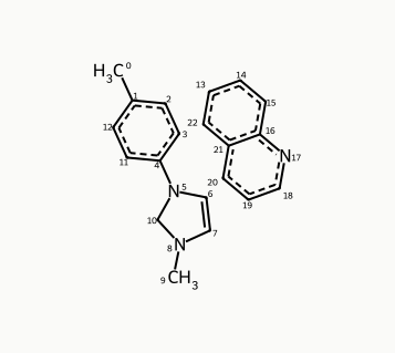 Cc1ccc(N2C=CN(C)C2)cc1.c1ccc2ncccc2c1